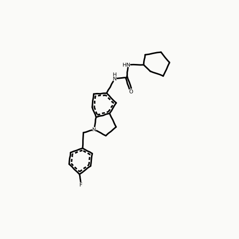 O=C(Nc1ccc2c(c1)CCN2Cc1ccc(F)cc1)NC1CCCCC1